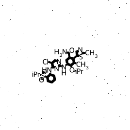 Cc1ncc(-c2c(C(N)=O)cc(Nc3ncc(Cl)c(Nc4ccccc4S(=O)(=O)C(C)C)n3)c(OC(C)C)c2C)s1